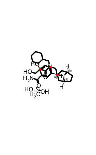 NC(=O)c1cccc([C@H]2C[C@H]3CC[C@@H](C2)N3CCN(CC2CCCCC2)C(=O)[C@@H](O)CO)c1.O.O=S(=O)(O)O